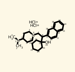 CN(C)C1CCN(CC(c2ccc3ccccc3c2)C2(O)CCCCC2)CC1.Cl.Cl